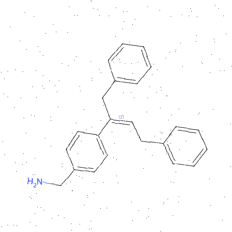 NCc1ccc(/C(=C\Cc2ccccc2)Cc2ccccc2)cc1